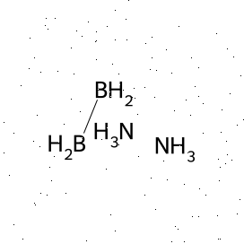 BB.N.N